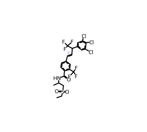 CCS(=O)(=O)CC(C)NC(=O)c1ccc(/C=C/C(c2cc(Cl)c(Cl)c(Cl)c2)C(F)(F)F)cc1C(F)(F)F